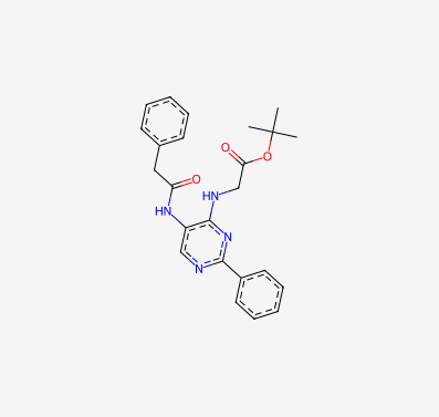 CC(C)(C)OC(=O)CNc1nc(-c2ccccc2)ncc1NC(=O)Cc1ccccc1